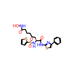 O=C(CCCCC[C@H](NS(=O)(=O)c1cccs1)C(=O)Nc1nc(-c2ccccc2)cs1)NO